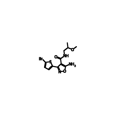 COC(C)CNC(=O)c1c(-c2ccc(Br)s2)noc1N